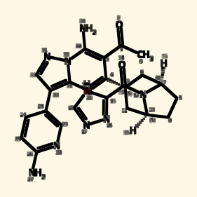 CC(=O)c1c([C@@H]2C[C@H]3CC[C@@H](C2)N3C(=O)c2nnc[nH]2)nc2c(-c3ccc(N)nc3)cnn2c1N